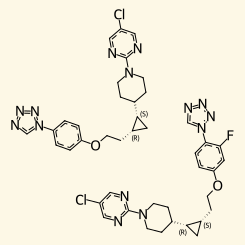 Clc1cnc(N2CCC([C@@H]3C[C@@H]3CCOc3ccc(-n4cnnn4)cc3)CC2)nc1.Fc1cc(OCC[C@@H]2C[C@@H]2C2CCN(c3ncc(Cl)cn3)CC2)ccc1-n1cnnn1